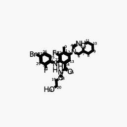 Cc1c(N(C=N)CC2CCCCO2)cc(C(=O)NOCCO)c(Nc2ccc(Br)cc2F)c1F